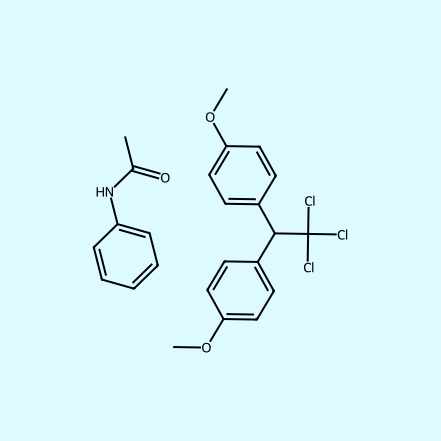 CC(=O)Nc1ccccc1.COc1ccc(C(c2ccc(OC)cc2)C(Cl)(Cl)Cl)cc1